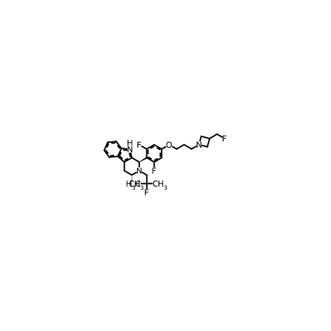 C[C@@H]1Cc2c([nH]c3ccccc23)[C@@H](c2c(F)cc(OCCCN3CC(CF)C3)cc2F)N1CC(C)(C)F